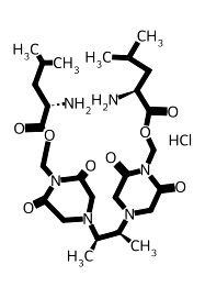 CC(C)C[C@H](N)C(=O)OCN1C(=O)CN([C@H](C)[C@H](C)N2CC(=O)N(COC(=O)[C@@H](N)CC(C)C)C(=O)C2)CC1=O.Cl